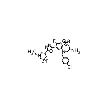 CCN1CC(c2nnc(-c3cc4c(cc3F)S(=O)(=O)C[C@H](N)CN4Cc3ccc(Cl)cc3)o2)CC(F)(F)C1